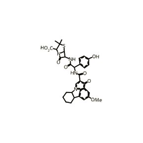 COc1cc2c3c(c1)c(=O)c(C(=O)NC(C(=O)NC1C(=O)N4C1SC(C)(C)C4C(=O)O)c1ccc(O)cc1)cn3C1CCCCC21